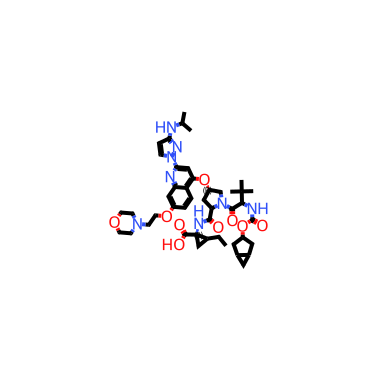 CCC1C[C@]1(NC(=O)C1C[C@@H](Oc2cc(-n3ccc(NC(C)C)n3)nc3cc(OCCN4CCOCC4)ccc23)CN1C(=O)C(NC(=O)OC1CC2CC2C1)C(C)(C)C)C(=O)O